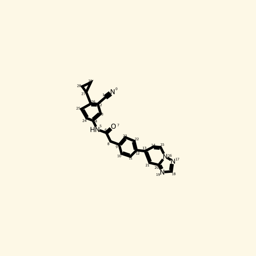 N#Cc1cc(NC(=O)Cc2ccc(-c3ccn4ncnc4c3)cc2)ccc1C1CC1